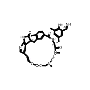 Cc1cc(C[C@H]2NC(=O)c3ccc4c(c3)C[C@]3(C4)C(=O)Nc4ncc(cc43)/C=C/COCCN(C)CCN(C)C2=O)cc(C=N)c1N